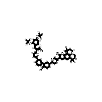 Cn1c2ccc(-c3cnc(-c4cc5cc6c7c(c5oc4=O)C(C)(C)CCN7CCC6(C)C)cn3)cc2c2cc(-c3ccc(-c4cc5c(OC(C)(C)C)cc(OC(C)(C)C)cc5oc4=O)o3)ccc21